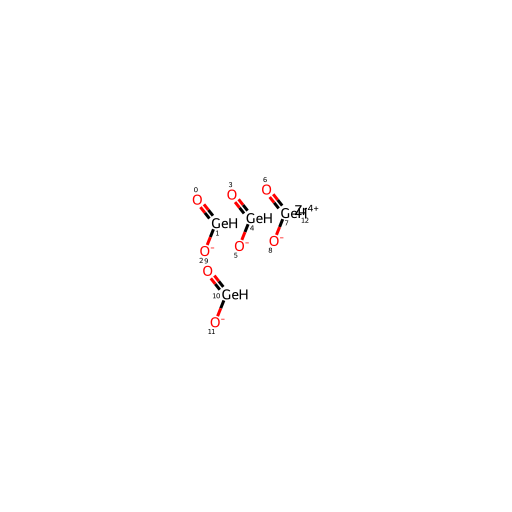 [O]=[GeH][O-].[O]=[GeH][O-].[O]=[GeH][O-].[O]=[GeH][O-].[Zr+4]